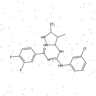 CC1C(N/C(=N\C(=O)c2ccc(F)c(F)c2)Nc2cccc(Cl)c2)NNC1C(F)(F)F